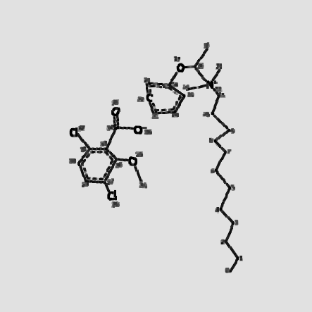 CCCCCCCCCCCC[N+](C)(C)C(C)Oc1ccccc1.COc1c(Cl)ccc(Cl)c1C(=O)[O-]